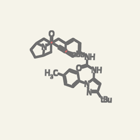 CCCCC#CC(=O)N1C2CCC1CC(Cc1ccc(NC(=O)Nc3cc(C(C)(C)C)nn3-c3ccc(C)cc3)cc1)C2